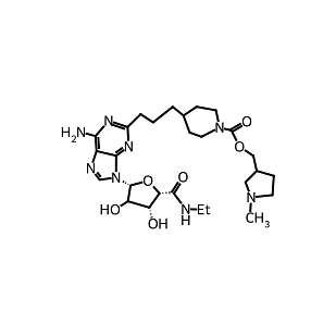 CCNC(=O)[C@H]1O[C@@H](n2cnc3c(N)nc(CCCC4CCN(C(=O)OCC5CCN(C)C5)CC4)nc32)C(O)[C@H]1O